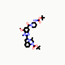 COc1cc(C(=O)N2CCC[C@@H](NC(=O)OC(C)(C)C)C2)cc2nc(-c3cc4cccc5c4n3C(C)CN5C(=O)OC(C)(C)C)n(C)c12